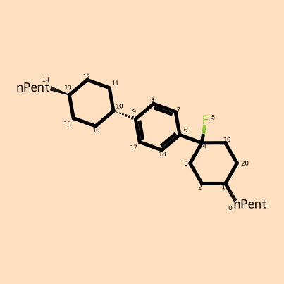 CCCCCC1CCC(F)(c2ccc([C@H]3CC[C@H](CCCCC)CC3)cc2)CC1